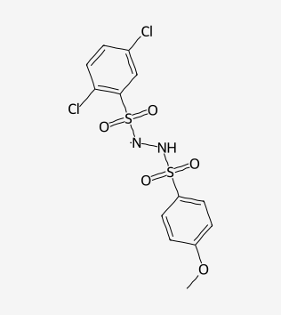 COc1ccc(S(=O)(=O)N[N]S(=O)(=O)c2cc(Cl)ccc2Cl)cc1